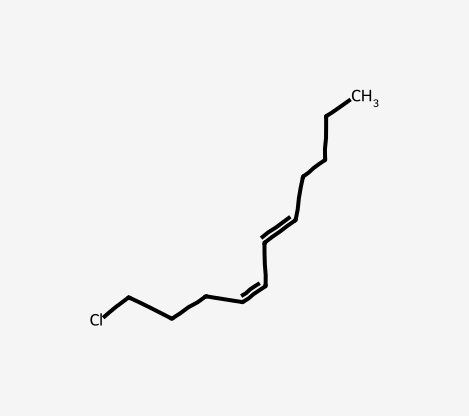 CCCC/C=C/C=C\CCCCl